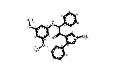 COc1cc(NC(C(=O)c2cn(C)cc2-c2ccccc2)c2ccccc2)cc(OC)c1